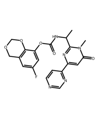 CC(NC(=O)Oc1cc(F)cc2c1OCOC2)c1nc(-c2ccncn2)cc(=O)n1C